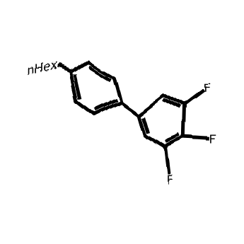 CCCCCCc1ccc(-c2cc(F)c(F)c(F)c2)cc1